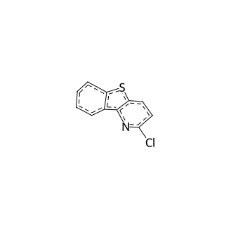 Clc1ccc2sc3ccccc3c2n1